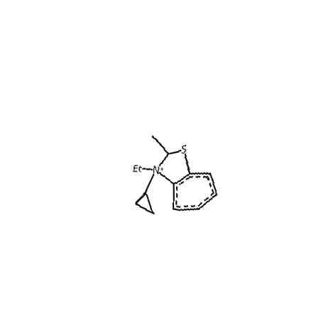 CC[N+]1(C2CC2)c2ccccc2SC1C